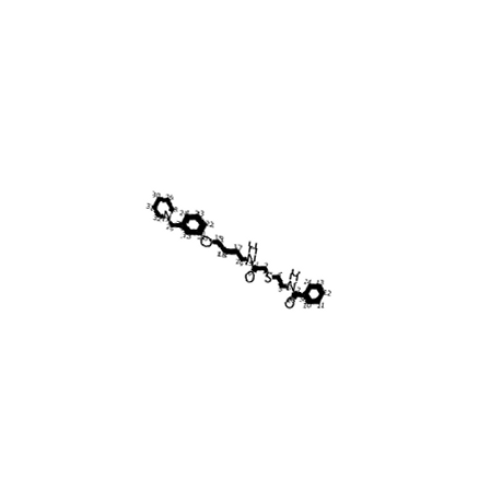 O=C(CSCCNC(=O)c1ccccc1)NCC=CCOc1cccc(CN2CCCCC2)c1